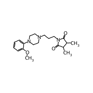 COc1ccccc1N1CCN(CCCN2C(=O)C(C)C(C)C2=O)CC1